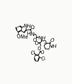 COc1cccc2[nH]c(C(=O)NCC(=O)N[C@@H](C[C@@H]3CCCNC3=O)C(=O)COC(=O)c3c(Cl)cccc3Cl)cc12